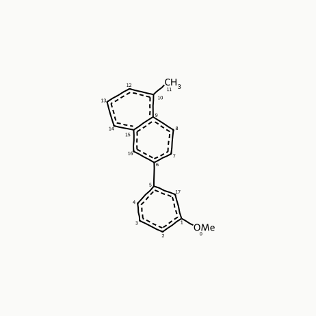 COc1cccc(-c2ccc3c(C)cccc3c2)c1